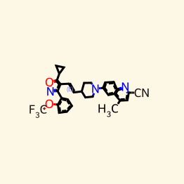 Cc1cc(C#N)nc2ccc(N3CCC(/C=C/c4c(-c5ccccc5OC(F)(F)F)noc4C4CC4)CC3)cc12